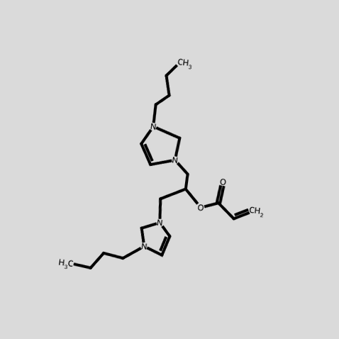 C=CC(=O)OC(CN1C=CN(CCCC)C1)CN1C=CN(CCCC)C1